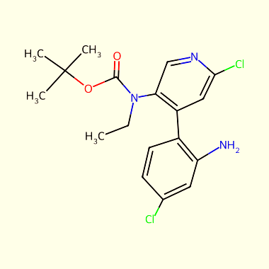 CCN(C(=O)OC(C)(C)C)c1cnc(Cl)cc1-c1ccc(Cl)cc1N